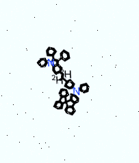 [2H]/C(=C(/[2H])c1ccc2c(c1)c(-c1ccccc1)c(-c1ccccc1)n2-c1ccccc1)c1ccc(N(c2ccccc2)c2ccc3c(c2)C2(c4ccccc4-c4ccccc42)c2ccccc2-3)cc1